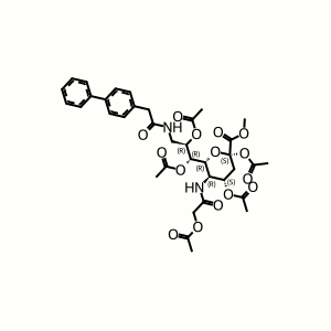 COC(=O)[C@@]1(OC(C)=O)C[C@H](OC(C)=O)[C@@H](NC(=O)COC(C)=O)[C@H]([C@H](OC(C)=O)[C@@H](CNC(=O)Cc2ccc(-c3ccccc3)cc2)OC(C)=O)O1